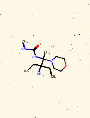 CCC(N)(CC)C(C)(NC(=O)NC)N1CCOCC1.I